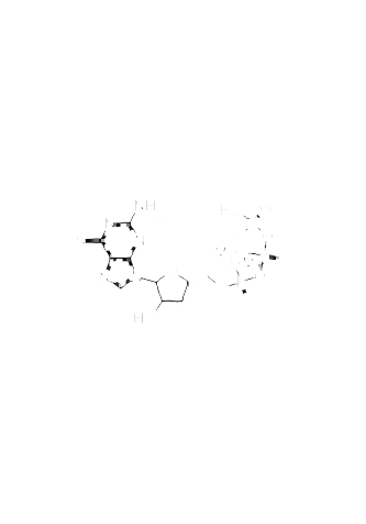 COP(=O)(OC[C@H]1OC(n2cnc3c(=S)[nH]c(N)nc32)C(O)[C@H]1O)OP(=O)(OC)OP(=O)(O)O